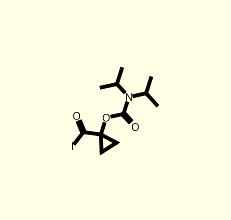 CC(C)N(C(=O)OC1(C(=O)I)CC1)C(C)C